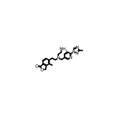 Cc1ncn(-c2ccc(CN(CCN)CCc3ccc4c(c3C)COC4=O)cn2)n1